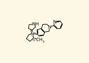 C[C@H]1CCC[N+]1(c1ccc2c(c1)CCN(c1ccccn1)C2)[C@H]1CCNC1